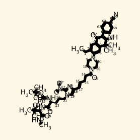 CCc1cc2c(cc1N1CCN(C(=O)CC/C=C/c3cn(CCC[C@H](NC(=O)OC(C)(C)C)C(=O)N[C@H](C(=O)NC)C(C)(C)C)c([N+](=O)[O-])n3)CC1)C(C)(C)c1[nH]c3cc(C#N)ccc3c1C2=O